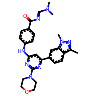 Cc1nn(C)c2cc(-c3cc(Nc4ccc(C(=O)/N=C/N(C)C)cc4)nc(N4CCOCC4)n3)ccc12